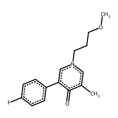 COCCCn1cc(C)c(=O)c(-c2ccc(F)cc2)c1